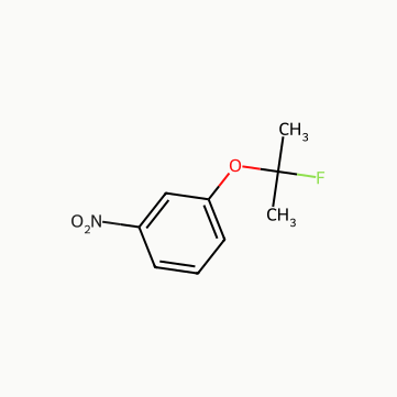 CC(C)(F)Oc1cccc([N+](=O)[O-])c1